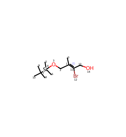 C/C(CO[Si](C)(C)C(C)(C)C)=C(/Br)CO